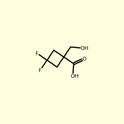 O=C(O)C1(CO)CC(F)(F)C1